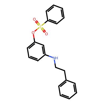 O=S(=O)(Oc1cc[c]c(NCCc2ccccc2)c1)c1ccccc1